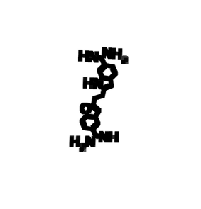 N=C(N)c1ccc2oc(CCc3cc4ccc(C(=N)N)cc4[nH]3)cc2c1